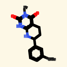 COc1cccc(C2CCc3c([nH]c(=O)n(C(C)C)c3=O)N2)c1